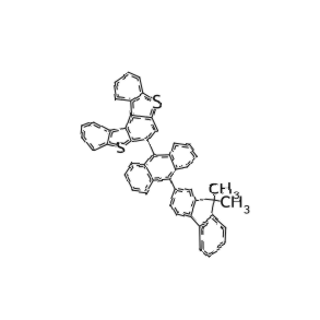 CC1(C)c2ccccc2-c2ccc(-c3c4ccccc4c(-c4cc5sc6ccccc6c5c5c4sc4ccccc45)c4ccccc34)cc21